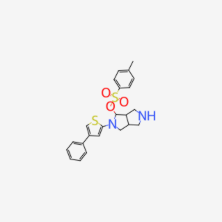 Cc1ccc(S(=O)(=O)OC2C3CNCC3CN2c2cc(-c3ccccc3)cs2)cc1